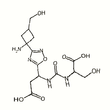 NC1(c2noc(C(CC(=O)O)NC(=O)NC(CO)C(=O)O)n2)CC(CO)C1